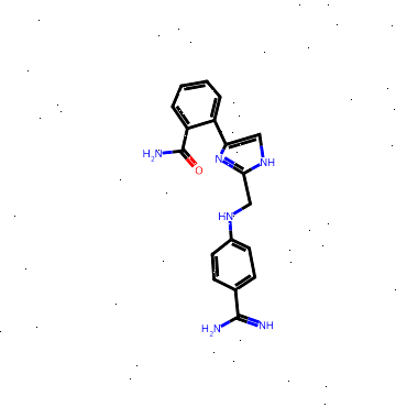 N=C(N)c1ccc(NCc2nc(-c3ccccc3C(N)=O)c[nH]2)cc1